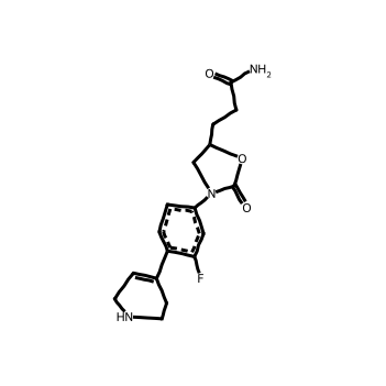 NC(=O)CCC1CN(c2ccc(C3=CCNCC3)c(F)c2)C(=O)O1